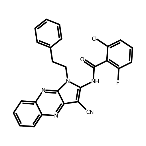 N#Cc1c(NC(=O)c2c(F)cccc2Cl)n(CCc2ccccc2)c2nc3ccccc3nc12